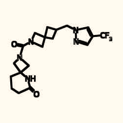 O=C1CCCC2(CN(C(=O)N3CC4(CC(Cn5cc(C(F)(F)F)cn5)C4)C3)C2)N1